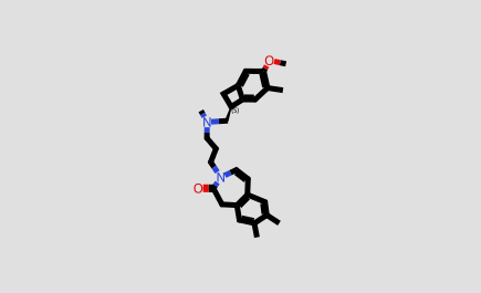 COc1cc2c(cc1C)[C@@H](CN(C)CCCN1C=Cc3cc(C)c(C)cc3CC1=O)C2